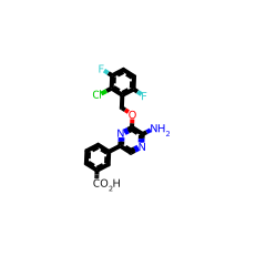 Nc1ncc(-c2cccc(C(=O)O)c2)nc1OCc1c(F)ccc(F)c1Cl